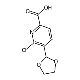 O=C(O)c1ccc(C2OCCO2)c(Cl)n1